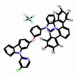 F[B-](F)(F)F.[2H]c1c([2H])c([2H])c(-c2cccc(-c3c([2H])c([2H])c([2H])c([2H])c3[2H])c2-[n+]2cn(-c3cccc(Oc4ccc5c6ccccc6n(-c6cc(Cl)ccn6)c5c4)c3)c3ccccc32)c([2H])c1[2H]